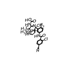 CC1(C)C(NC(=O)O)=N[C@](C)(c2cc(NC(=O)c3ccc(C#N)cc3Cl)ccc2F)[C@@H]2CCN[SH]21=O